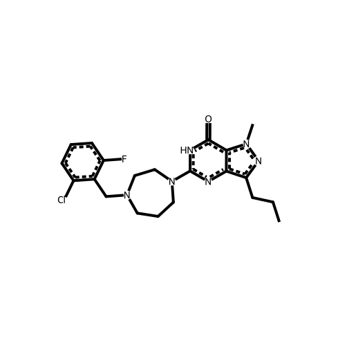 CCCc1nn(C)c2c(=O)[nH]c(N3CCCN(Cc4c(F)cccc4Cl)CC3)nc12